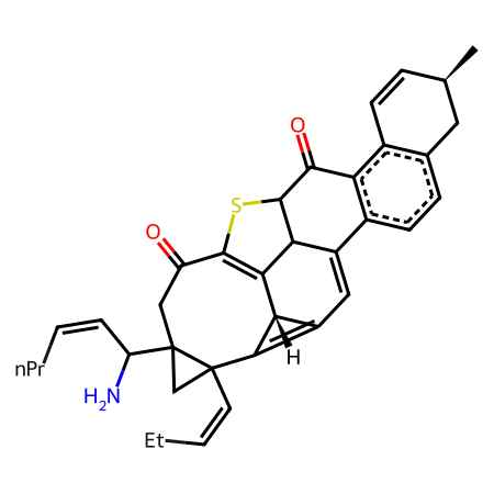 CC/C=C\C12CC1(C(N)/C=C\CCC)CC(=O)C1=C3C4C(=CC5=C2[C@@H]53)c2ccc3c(c2C(=O)C4S1)C=C[C@@H](C)C3